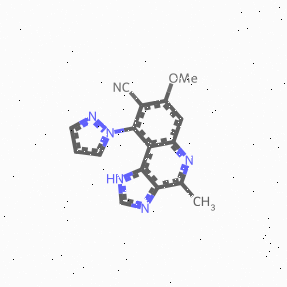 COc1cc2nc(C)c3nc[nH]c3c2c(-n2cccn2)c1C#N